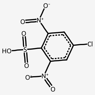 O=[N+]([O-])c1cc(Cl)cc([N+](=O)[O-])c1S(=O)(=O)O